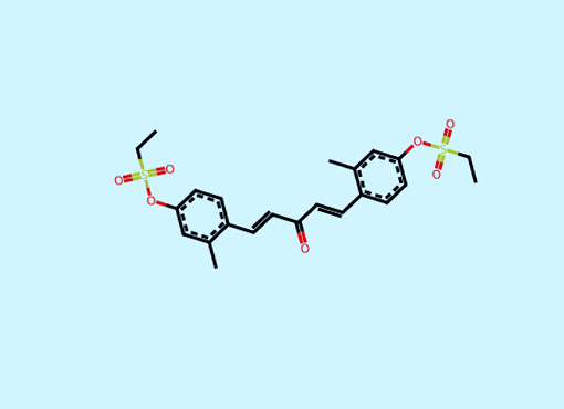 CCS(=O)(=O)Oc1ccc(/C=C/C(=O)/C=C/c2ccc(OS(=O)(=O)CC)cc2C)c(C)c1